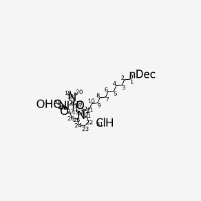 CCCCCCCCCCCCCCCCCCCCCC(=O)[N+]1(CCCN(C)C)CCCCC1CCONC=O.Cl